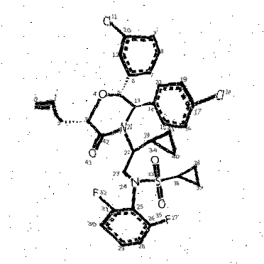 C=CC[C@@H]1O[C@H](c2cccc(Cl)c2)[C@@H](c2ccc(Cl)cc2)N(C(CN(c2c(F)cccc2F)S(=O)(=O)C2CC2)C2CC2)C1=O